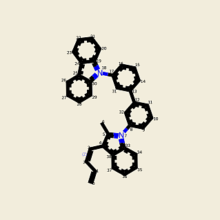 C=C/C=C\c1c(C)n(-c2cccc(-c3cccc(-n4c5ccccc5c5ccccc54)c3)c2)c2ccccc12